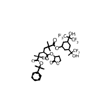 CCC(C)(CC(CC(C)(C)C(=O)OC1CC(C(C)(O)C(F)(F)F)CC(C(O)(C(F)(F)F)C(F)(F)F)C1)C(=O)OC1CCOC1=O)C(=O)OC(C)(C)c1ccccc1